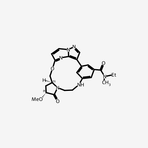 CCN(C)C(=O)c1cc2cc(c1)-c1cnn3ccc(nc13)OC[C@@H]1C[C@@H](OC)C(=O)N1CCN2